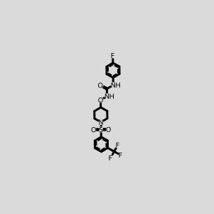 O=C(NOC1CCN(S(=O)(=O)c2cccc(C(F)(F)F)c2)CC1)Nc1ccc(F)cc1